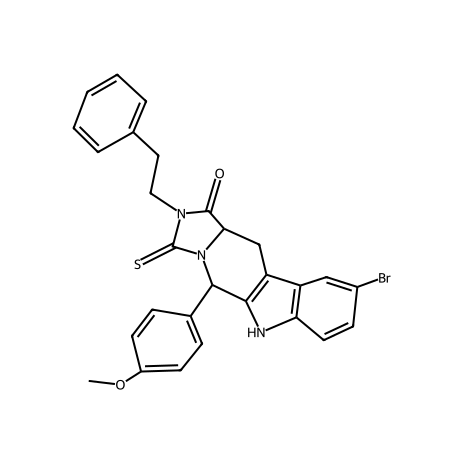 COc1ccc(C2c3[nH]c4ccc(Br)cc4c3CC3C(=O)N(CCc4ccccc4)C(=S)N32)cc1